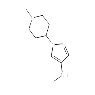 CNc1cnn(C2CCN(C)CC2)c1